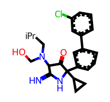 CC(C)CN(CO)C1C(=N)NC(c2cccc(-c3cccc(Cl)c3)c2)(C2CC2)C1=O